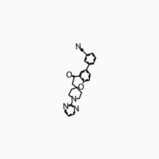 N#Cc1cccc(-c2ccc3c(c2)C(=O)CC2(CCN(c4ncccn4)CC2)O3)c1